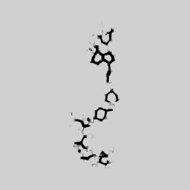 O=C1CC[C@H](c2noc3ccc4c(C#CCOC5CCN(CC6CCC(n7cc(NC(=O)c8cnn9ccc(N%10C[C@H]%11C[C@@H]%10CO%11)nc89)c(C(F)F)n7)CC6)CC5)cccc4c23)C(=O)N1